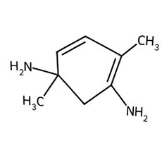 CC1=C(N)CC(C)(N)C=C1